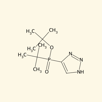 CC(C)(C)OP(=O)(c1c[nH]nn1)C(C)(C)C